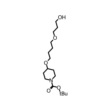 CC(C)(C)OC(=O)N1CCC(OCCCCOCCCO)CC1